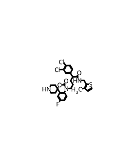 Cc1ccsc1CNC(=O)C(CCCN1C(=O)OC2(CCNCC2)c2cc(F)ccc21)c1ccc(Cl)c(Cl)c1